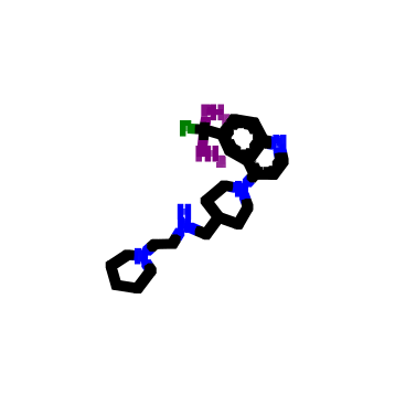 FC(P)(P)c1ccc2nccc(N3CCC(CNCCN4CCCCC4)CC3)c2c1